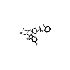 CC(=O)N1CC2(CCN(C(=O)Nc3ccccc3F)CC2)c2c([nH]c3cc(F)ccc23)[C@H]1CO